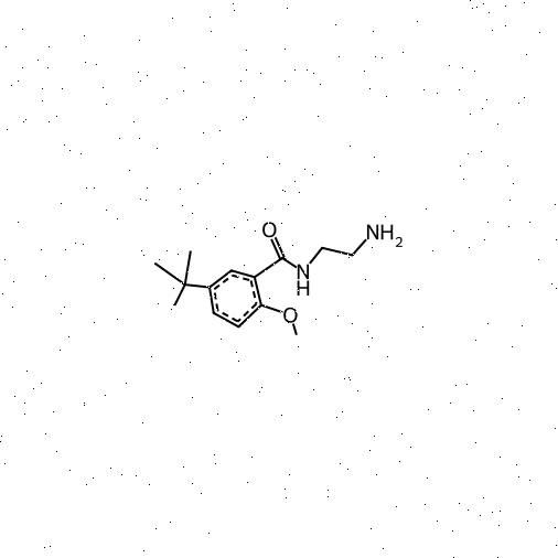 COc1ccc(C(C)(C)C)cc1C(=O)NCCN